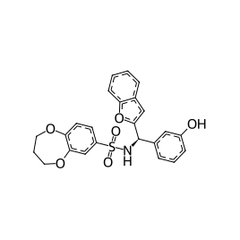 O=S(=O)(N[C@H](c1cccc(O)c1)c1cc2ccccc2o1)c1ccc2c(c1)OCCCO2